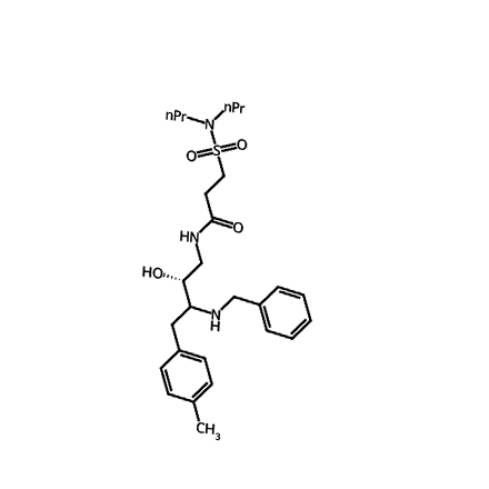 CCCN(CCC)S(=O)(=O)CCC(=O)NC[C@@H](O)C(Cc1ccc(C)cc1)NCc1ccccc1